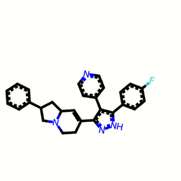 Fc1ccc(-c2[nH]nc(C3=CC4CC(c5ccccc5)CN4CC3)c2-c2ccncc2)cc1